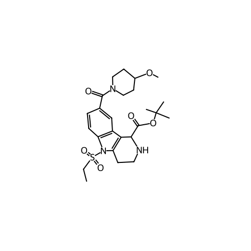 CCS(=O)(=O)n1c2c(c3cc(C(=O)N4CCC(OC)CC4)ccc31)C(C(=O)OC(C)(C)C)NCC2